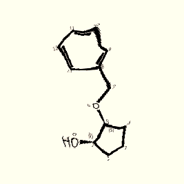 O[C@@H]1CCC[C@@H]1OCc1ccccc1